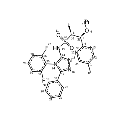 Cc1cnc([C@H](OC(C)C)[C@H](C)S(=O)(=O)Nc2nnc(-c3ccccc3)n2-c2c(F)cccc2F)nc1